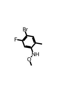 CONc1cc(F)c(Br)cc1C